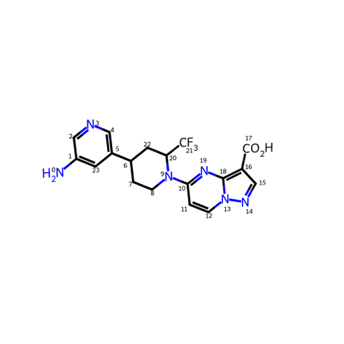 Nc1cncc(C2CCN(c3ccn4ncc(C(=O)O)c4n3)C(C(F)(F)F)C2)c1